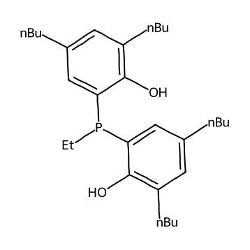 CCCCc1cc(CCCC)c(O)c(P(CC)c2cc(CCCC)cc(CCCC)c2O)c1